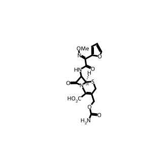 CON=C(C(=O)NC1C(=O)N2C(C(=O)O)=C(COC(N)=O)CS[C@H]12)c1ccco1